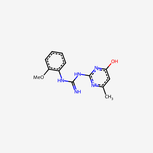 COc1ccccc1NC(=N)Nc1nc(C)cc(O)n1